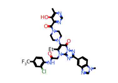 CCc1c(N2CCN(C(=O)c3ncnc(C)c3O)CC2)c(=O)n2nc(-c3ccc4c(c3)ncn4C)nc2n1CC(=O)Nc1ccc(C(F)(F)F)cc1Cl